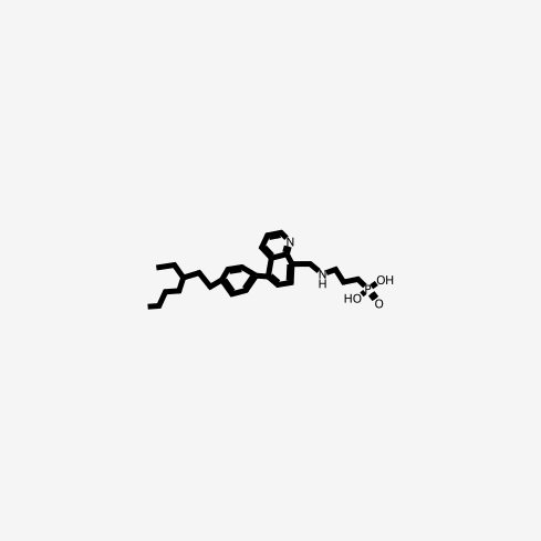 CCCCC(CC)CCc1ccc(-c2ccc(CNCCCP(=O)(O)O)c3ncccc23)cc1